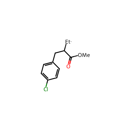 C[CH]C(Cc1ccc(Cl)cc1)C(=O)OC